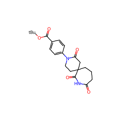 CC(C)(C)OC(=O)c1ccc(N2CCC3(CCCC(=O)NC3=O)CC2=O)cc1